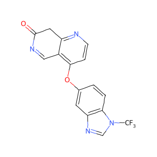 O=C1Cc2nccc(Oc3ccc4c(c3)ncn4C(F)(F)F)c2C=N1